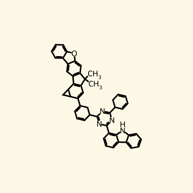 CC1(C)C2=C(c3cc4c(cc31)oc1ccccc14)C1CC1C(C1=CC=CC(c3nc(-c4cccc5c4[nH]c4ccccc45)nc(C4C=CC=CC4)n3)C1)=C2